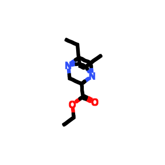 CCOC(=O)C1CN2CCN1C(C)=C2CC